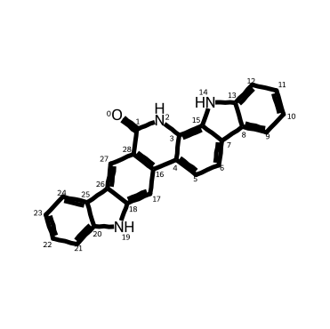 O=c1[nH]c2c(ccc3c4ccccc4[nH]c32)c2cc3[nH]c4ccccc4c3cc12